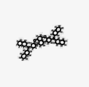 c1ccc2cc(N(c3ccc4c(c3)Oc3ccc5c6c(ccc-4c36)-c3ccc(N(c4ccc6ccccc6c4)c4ccc6ccccc6c4)cc3O5)c3ccc4ccccc4c3)ccc2c1